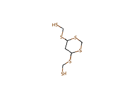 SCSC1CC(SCS)SCS1